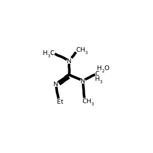 CCN=C(N(C)C)N(C)C.O